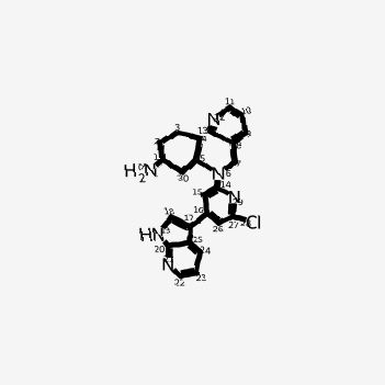 NC1CCCC(N(Cc2cccnc2)c2cc(-c3c[nH]c4ncccc34)cc(Cl)n2)C1